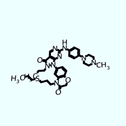 CCCSCCCN1C(=O)COc2ccc(-n3c4nc(Nc5ccc(N6CCN(C)CC6)cc5)ncc4c(=O)n3CCC)cc21